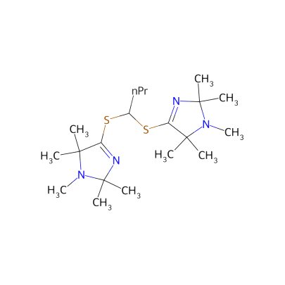 CCCC(SC1=NC(C)(C)N(C)C1(C)C)SC1=NC(C)(C)N(C)C1(C)C